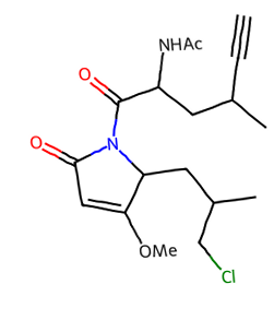 C#CC(C)CC(NC(C)=O)C(=O)N1C(=O)C=C(OC)C1CC(C)CCl